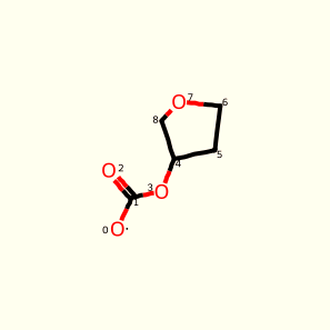 [O]C(=O)OC1CCOC1